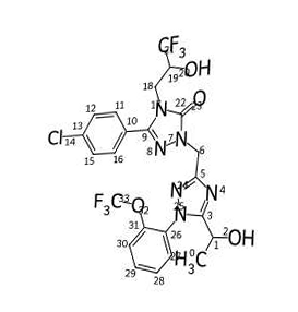 CC(O)c1nc(Cn2nc(-c3ccc(Cl)cc3)n(CC(O)C(F)(F)F)c2=O)nn1-c1ccccc1OC(F)(F)F